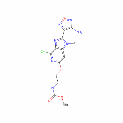 CCn1c(-c2nonc2N)nc2c(Cl)nc(OCCNC(=O)OC(C)(C)C)cc21